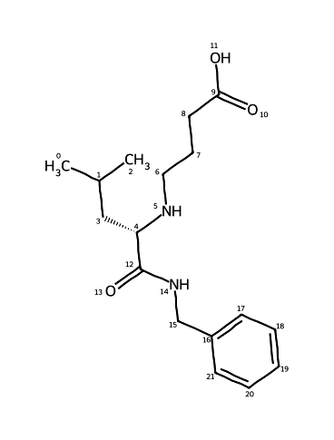 CC(C)C[C@H](NCCCC(=O)O)C(=O)NCc1ccccc1